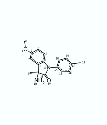 COc1ccc2c(c1)[C@@](C)(N)C(=O)N2c1ccc(F)cc1